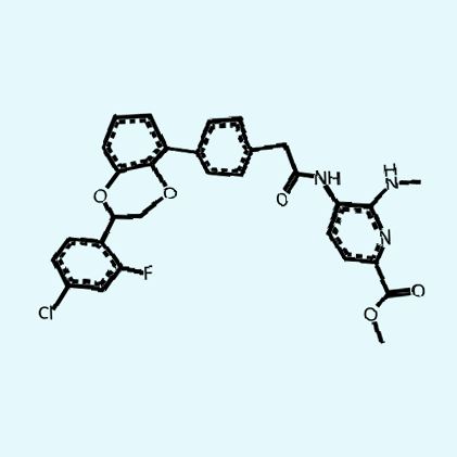 CNc1nc(C(=O)OC)ccc1NC(=O)Cc1ccc(-c2cccc3c2OCC(c2ccc(Cl)cc2F)O3)cc1